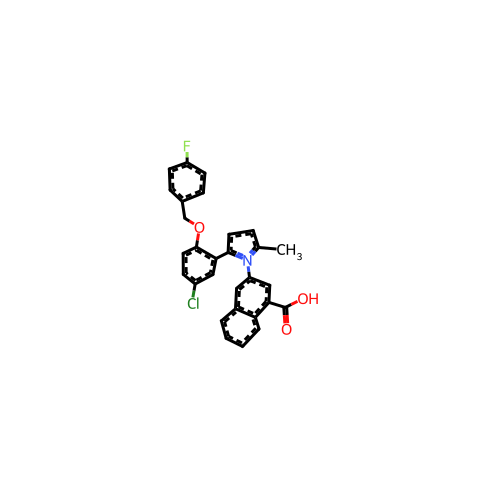 Cc1ccc(-c2cc(Cl)ccc2OCc2ccc(F)cc2)n1-c1cc(C(=O)O)c2ccccc2c1